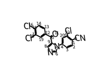 N#Cc1ccc(-n2cncc2C(=O)c2ccc(Cl)c(Cl)c2)cc1Cl